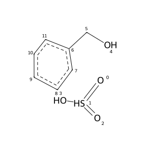 O=[SH](=O)O.OCc1ccccc1